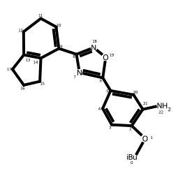 CCC(C)Oc1ccc(-c2nc(C3=CCCC4=C3CCC4)no2)cc1N